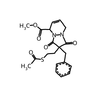 COC(=O)C1C=CCN2C(=O)C(CCSC(C)=O)(Cc3ccccc3)C(=O)N12